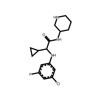 O=C(NC1CCCNC1)C(Nc1cc(F)cc(Cl)c1)C1CC1